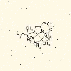 C=CC1CC(C(C)(C)C)[C@@](C(=O)O)(C(C)(C)C)N1C(=O)O